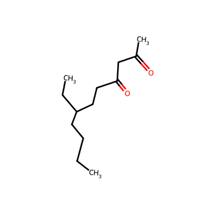 CCCCC(CC)CCC(=O)CC(C)=O